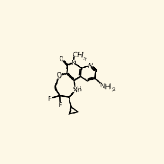 Cn1c(=O)c2c(c3cc(N)cnc31)N[C@@H](C1CC1)C(F)(F)CO2